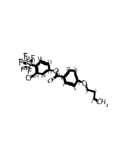 CCCCOc1ccc(C(=O)Oc2ccc(S(F)(F)(F)(F)F)c(Cl)c2)cc1